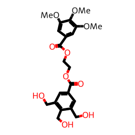 COc1cc(C(=O)OCCOC(=O)c2cc(CO)c(CO)c(CO)c2)cc(OC)c1OC